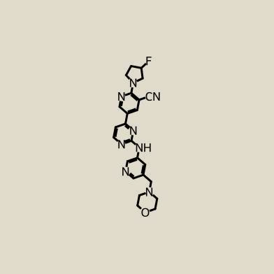 N#Cc1cc(-c2ccnc(Nc3cncc(CN4CCOCC4)c3)n2)cnc1N1CCC(F)C1